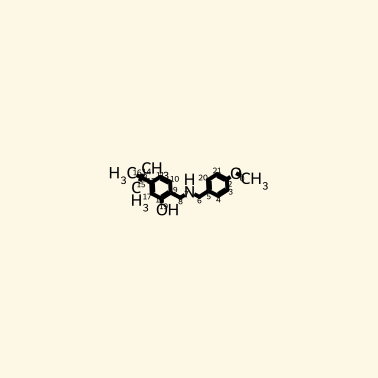 COc1ccc(CNCc2ccc(C(C)(C)C)cc2O)cc1